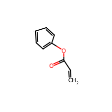 C=CC(=O)Oc1cc[c]cc1